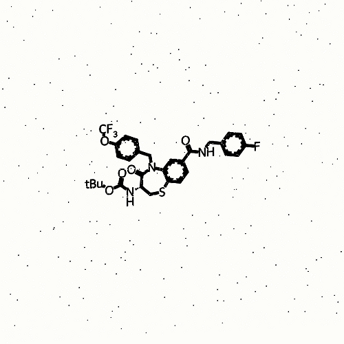 CC(C)(C)OC(=O)N[C@H]1CSc2ccc(C(=O)NCc3ccc(F)cc3)cc2N(Cc2ccc(OC(F)(F)F)cc2)C1=O